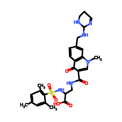 Cc1cc(C)c(S(=O)(=O)NC(CNC(=O)c2cn(C)c3cc(CNC4N=CCCN4)ccc3c2=O)C(=O)O)c(C)c1